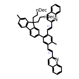 CCCCCCCCCCCCC1(CCCCCCCCCCCC)c2cc(C)ccc2-c2ccc(-c3cc(/C=C/c4ccc5ccccc5n4)c(C)cc3/C=C/c3ccc4ccccc4n3)cc21